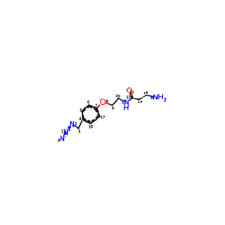 [N-]=[N+]=NCc1ccc(OCCNC(=O)CCN)cc1